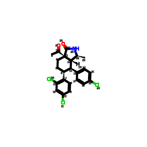 CC(=O)[C@@]12CC[C@@H](c3ccc(Cl)cc3Cl)[C@H](c3ccc(Cl)cc3)[C@@H]1[C@@H](C)NC2=O